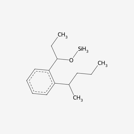 CCCC(C)c1ccccc1C(CC)O[SiH3]